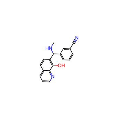 CNC(c1cccc(C#N)c1)c1ccc2cccnc2c1O